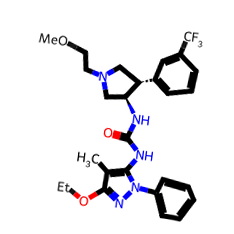 CCOc1nn(-c2ccccc2)c(NC(=O)N[C@H]2CN(CCOC)C[C@@H]2c2cccc(C(F)(F)F)c2)c1C